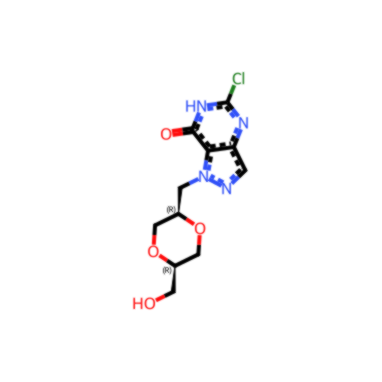 O=c1[nH]c(Cl)nc2cnn(C[C@@H]3CO[C@H](CO)CO3)c12